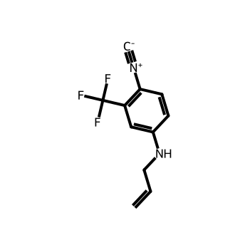 [C-]#[N+]c1ccc(NCC=C)cc1C(F)(F)F